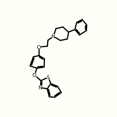 c1ccc(C2CCN(CCOc3ccc(Oc4nc5ccccc5s4)cc3)CC2)cc1